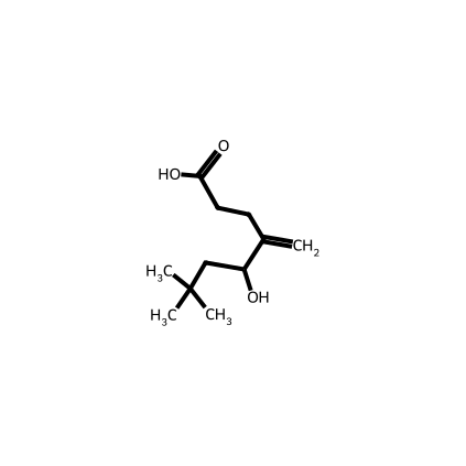 C=C(CCC(=O)O)C(O)CC(C)(C)C